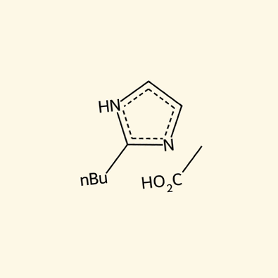 CC(=O)O.CCCCc1ncc[nH]1